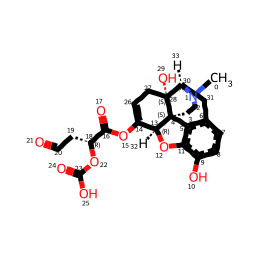 CN1CC[C@]23c4c5ccc(O)c4O[C@H]2C(OC(=O)[C@@H](CC=O)OC(=O)O)=CC[C@@]3(O)[C@H]1C5